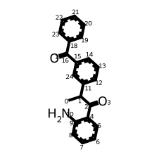 CC(C(=O)c1ccccc1N)c1cccc(C(=O)c2ccccc2)c1